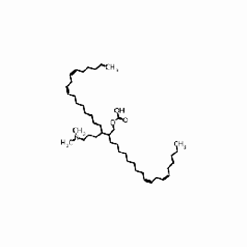 CCCCC/C=C\C/C=C\CCCCCCCCC(COC(=O)O)C(CCCCCCC/C=C\C/C=C\CCCCC)CCCN(C)C